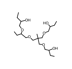 CCC(O)COCC(C)(COCC(O)CC)COCC(CC)OCC(O)CC